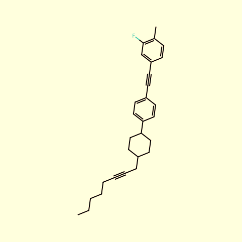 CCCCCC#CCC1CCC(c2ccc(C#Cc3ccc(C)c(F)c3)cc2)CC1